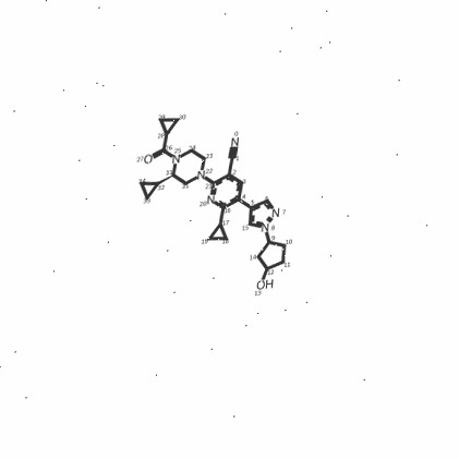 N#Cc1cc(-c2cnn(C3CCC(O)C3)c2)c(C2CC2)nc1N1CCN(C(=O)C2CC2)[C@H](C2CC2)C1